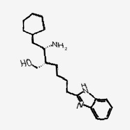 N[C@@H](CC1CCCCC1)[C@@H](CO)CCCCc1nc2ccccc2[nH]1